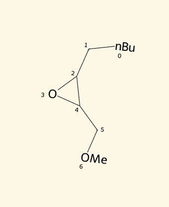 CCCCCC1OC1COC